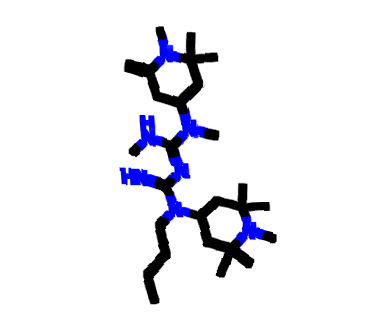 C=C1CC(N(C)/C(=N/C(=N)N(CCCC)C2CC(C)(C)N(C)C(C)(C)C2)NC)CC(C)(C)N1C